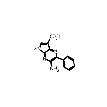 Nc1nc2[nH]cc(C(=O)O)c2nc1-c1ccccc1